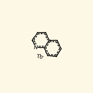 [Tb].c1ccc2ncccc2c1